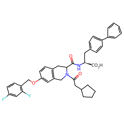 O=C(N[C@@H](Cc1ccc(-c2ccccc2)cc1)C(=O)O)C1Cc2ccc(OCc3ccc(F)cc3F)cc2CN1C(=O)CC1CCCC1